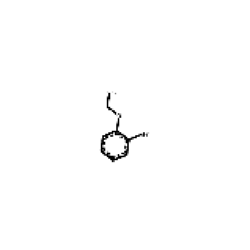 CC(C)c1ccccc1OCC(F)(F)F